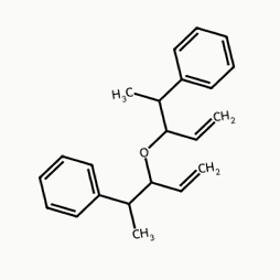 C=CC(OC(C=C)C(C)c1ccccc1)C(C)c1ccccc1